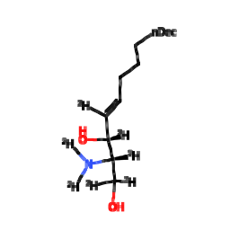 [2H]/C(=C\CCCCCCCCCCCCC)[C@@]([2H])(O)[C@@]([2H])(N([2H])[2H])C([2H])([2H])O